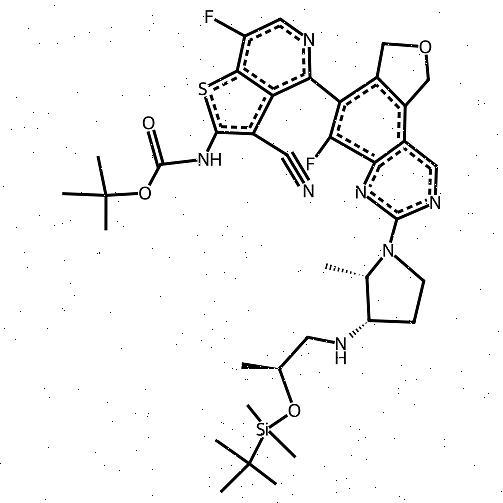 C[C@@H](CN[C@H]1CCN(c2ncc3c4c(c(-c5ncc(F)c6sc(NC(=O)OC(C)(C)C)c(C#N)c56)c(F)c3n2)COC4)[C@H]1C)O[Si](C)(C)C(C)(C)C